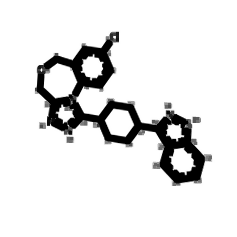 Clc1ccc2c(c1)COCc1nnc(C3CCC(c4nsc5ccccc45)CC3)n1-2